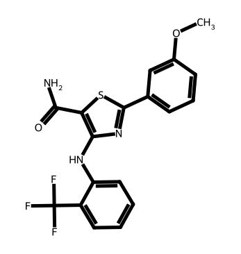 COc1cccc(-c2nc(Nc3ccccc3C(F)(F)F)c(C(N)=O)s2)c1